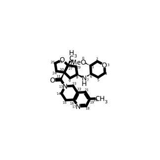 CO[C@@H]1COCC[C@@H]1N[C@H]1C[C@]2(C(=O)N3CCc4ncc(C)cc4C3)CCO[C@]2(C)C1